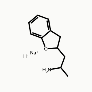 CC(N)CC1Cc2ccccc2O1.[H-].[Na+]